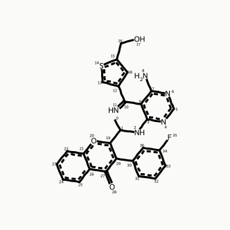 CC(Nc1ncnc(N)c1C(=N)c1csc(CO)c1)c1oc2ccccc2c(=O)c1-c1cccc(F)c1